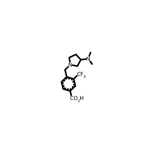 CN(C)C1CCN(Cc2ccc(C(=O)O)cc2C(F)(F)F)C1